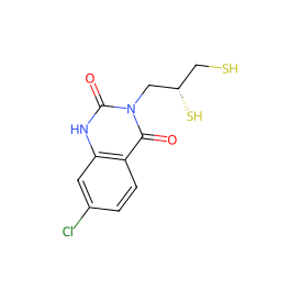 O=c1[nH]c2cc(Cl)ccc2c(=O)n1C[C@@H](S)CS